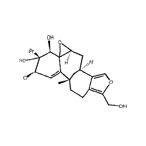 CC(C)[C@]1(O)[C@H](Cl)C=C2C3(O[C@H]3C[C@H]3c4coc(CO)c4CC[C@]23C)[C@@H]1O